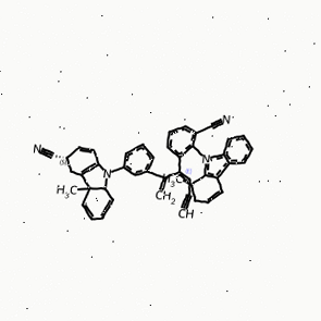 C#C/C=C(\C(=C)c1cccc(N2C3=C(C[C@H](C#N)C=C3)C3(C)C=CC=CC23)c1)c1cccc(C#N)c1-n1c2c(c3ccccc31)C=CCC2C